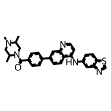 CC1CN(C(=O)c2ccc(-c3ccc4c(Nc5ccc6scnc6c5)ccnc4c3)cc2)C(C)CN1C